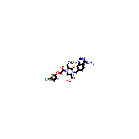 COCC1C(=O)N(Cc2ccc3c(N)ncnc3c2)C(CO)CN1C(=O)COc1ccc(Cl)s1